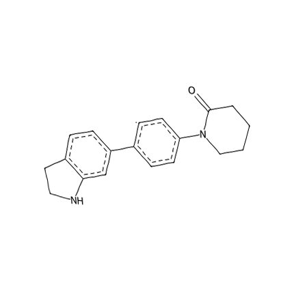 O=C1CCCCN1c1c[c]c(-c2ccc3c(c2)NCC3)cc1